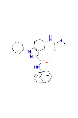 CN(C)C(=O)NC1CCc2c(c(C(=O)NC34CC5CC(CC(C5)C3)C4)nn2C2CCCCC2)C1